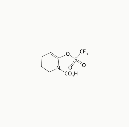 O=C(O)N1CCCC=C1OS(=O)(=O)C(F)(F)F